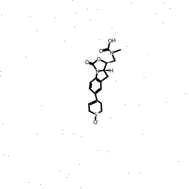 CN(C[C@@H]1OC(=O)N2c3ccc(C4=CC[S+]([O-])CC4)cc3C[C@@H]12)C(=O)O